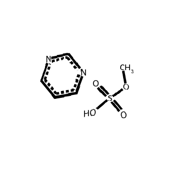 COS(=O)(=O)O.c1cncnc1